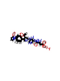 CC1Oc2cc(N3CCCC3=O)ccc2-c2cnc(Nc3cncc(NC(=O)CCC(=O)O)c3)cc21